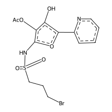 CC(=O)Oc1c(NS(=O)(=O)CCCBr)oc(-c2ccccn2)c1O